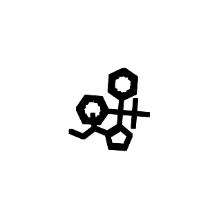 CCC(C)C1=C(C(c2ccccc2)(c2ccccc2)C(C)(C)C)CC=C1